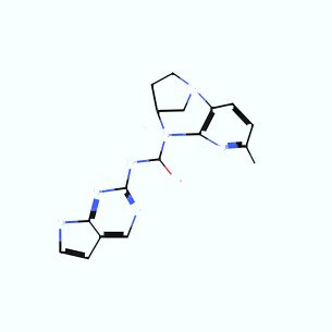 O=C(O)c1ccc2c(n1)N(C(O)Nc1ncc3cc[nH]c3n1)[C@H]1CCN2C1